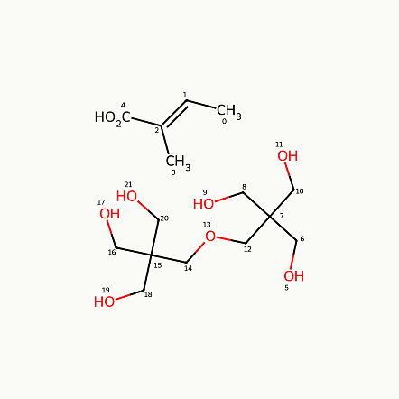 CC=C(C)C(=O)O.OCC(CO)(CO)COCC(CO)(CO)CO